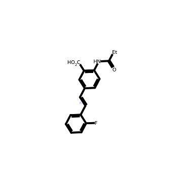 CCC(=O)Nc1ccc(/C=C/c2ccccc2F)cc1C(=O)O